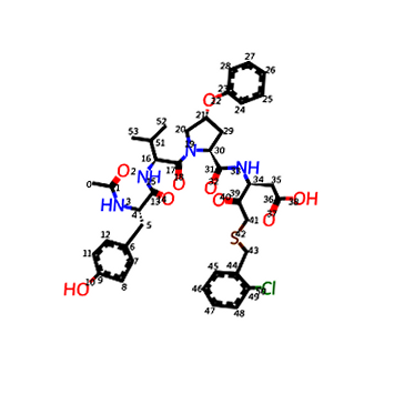 CC(=O)N[C@@H](Cc1ccc(O)cc1)C(=O)N[C@H](C(=O)N1C[C@H](Oc2ccccc2)C[C@H]1C(=O)N[C@@H](CC(=O)O)C(=O)CSCc1ccccc1Cl)C(C)C